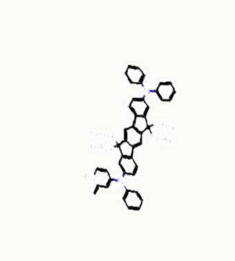 C=C/C=C(\C=C/C(C)(C)C)N(c1ccccc1)c1ccc2c(c1)C(CCCCCC)(CCCCCC)c1cc3c(cc1-2)C(CCCCCC)(CCCCCC)c1cc(N(c2ccccc2)c2ccccc2)ccc1-3